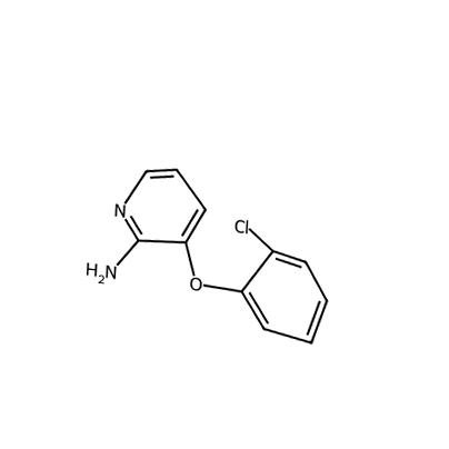 Nc1ncccc1Oc1ccccc1Cl